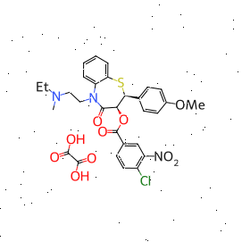 CCN(C)CCN1C(=O)[C@H](OC(=O)c2ccc(Cl)c([N+](=O)[O-])c2)[C@H](c2ccc(OC)cc2)Sc2ccccc21.O=C(O)C(=O)O